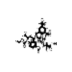 CCOC(=O)N1c2ccc(OC)cc2C(N(Cc2cc(C(F)(F)F)cc(C(F)(F)F)c2)c2nnn(CC(C)(C)C(=O)O)n2)CC1CC